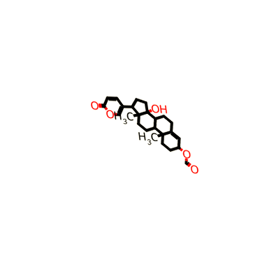 CC12CCC(OC=O)C=C1CCC1C2CCC2(C)C(c3ccc(=O)oc3)CCC12O